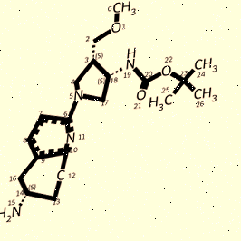 COC[C@H]1CN(c2ccc3c(n2)CC[C@H](N)C3)C[C@H]1NC(=O)OC(C)(C)C